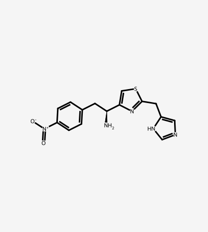 N[C@@H](Cc1ccc([N+](=O)[O-])cc1)c1csc(Cc2cnc[nH]2)n1